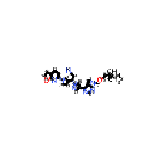 C[Si](C)(C)CCOCn1ccc2c(-c3cnn(C(CC#N)C4CCN(c5ccc6c(n5)OCC6)C4)c3)ncnc21